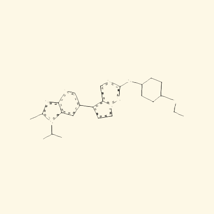 CCOC1CCC(Nc2ncc3c(-c4cnc5nc(C)n(C(C)C)c5c4)ccn3n2)CC1